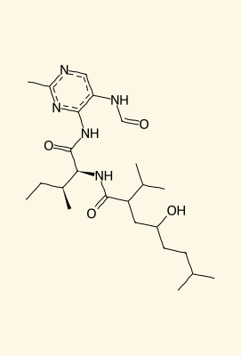 CC[C@H](C)[C@H](NC(=O)C(CC(O)CCC(C)C)C(C)C)C(=O)Nc1nc(C)ncc1NC=O